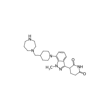 Cn1nc(C2CCC(=O)NC2=O)c2cccc(N3CCC(CN4CCCNCC4)CC3)c21